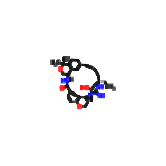 CC[C@]12CC/C=C\c3ccc4c(c3)[C@H](COC4(C)C)NC(=O)c3ccc4c(c3)[C@@H](CCO4)N(C(=N)N1)C(O)C2